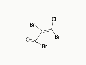 O=C(Br)C(Br)=C(Cl)Br